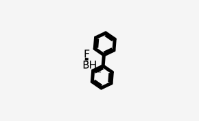 BF.c1ccc(-c2ccccc2)cc1